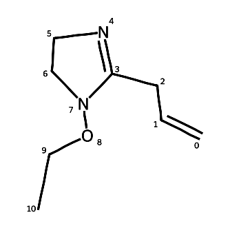 C=CCC1=NCCN1OCC